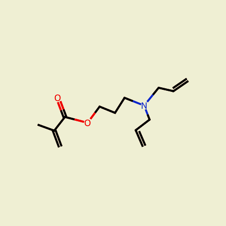 C=CCN(CC=C)CCCOC(=O)C(=C)C